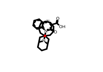 O=C(O)c1nc2ccccc2n(C2CC3CCCC(C2)N3C2CCCCCCCC2)c1=O